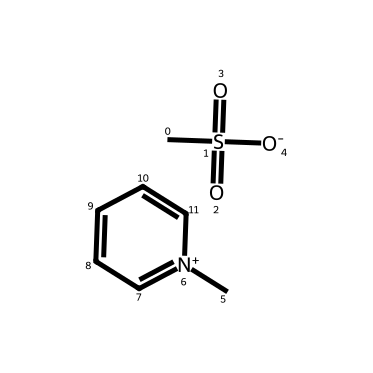 CS(=O)(=O)[O-].C[n+]1ccccc1